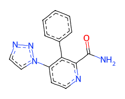 NC(=O)c1nccc(-n2ccnn2)c1-c1ccccc1